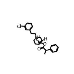 CC(C(=O)O[C@H]1C[N+]2(CCc3cccc(Cl)c3)CCC1CC2)c1ccccc1